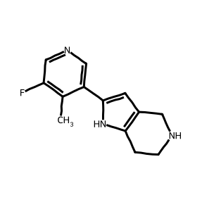 Cc1c(F)cncc1-c1cc2c([nH]1)CCNC2